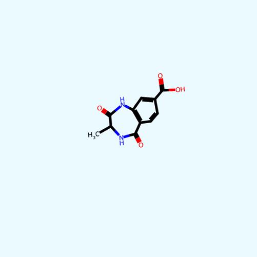 CC1NC(=O)c2ccc(C(=O)O)cc2NC1=O